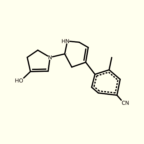 Cc1cc(C#N)ccc1C1=CCN[C](N2C=C(O)CC2)C1